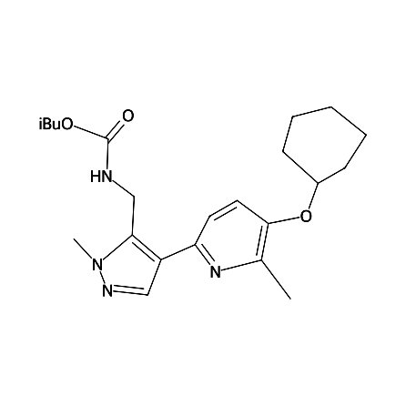 Cc1nc(-c2cnn(C)c2CNC(=O)OCC(C)C)ccc1OC1CCCCC1